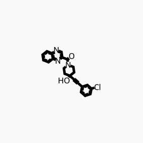 O=C(c1cnc2ccccc2n1)N1CCC(O)(C#Cc2cccc(Cl)c2)CC1